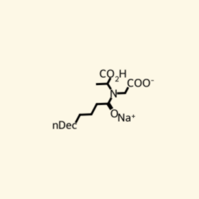 CCCCCCCCCCCCCC(=O)N(CC(=O)[O-])C(C)C(=O)O.[Na+]